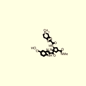 CNC(=O)C1CC(NC(=O)c2nc3c(s2)CN(C)CC3)C(N)(C(=O)c2cc3cc(Cl)ccc3[nH]2)C1.Cl